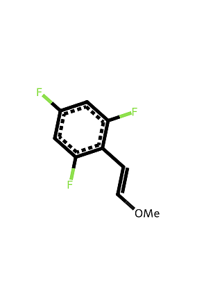 COC=Cc1c(F)cc(F)cc1F